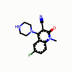 Cn1c(=O)c(C#N)c(N2CCNCC2)c2cc(F)ccc21